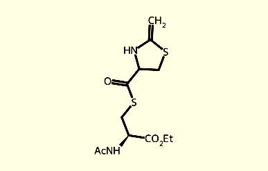 C=C1NC(C(=O)SC[C@H](NC(C)=O)C(=O)OCC)CS1